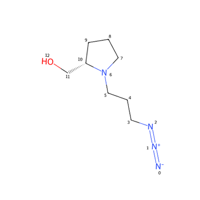 [N-]=[N+]=NCCCN1CCC[C@H]1CO